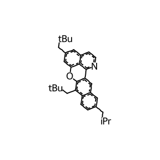 CC(C)Cc1ccc2c(CC(C)(C)C)c3c(cc2c1)-c1nccc2cc(CC(C)(C)C)cc(c12)O3